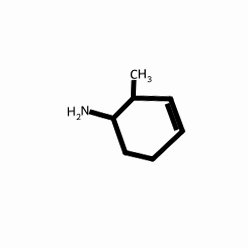 CC1C=CCCC1N